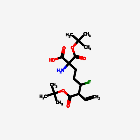 C=CC(C(=O)OC(C)(C)C)C(F)CCC(N)(C(=O)O)C(=O)OC(C)(C)C